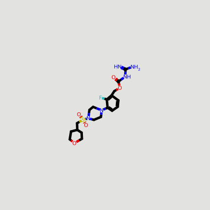 N=C(N)NC(=O)OCc1cccc(N2CCN(S(=O)(=O)CC3CCOCC3)CC2)c1F